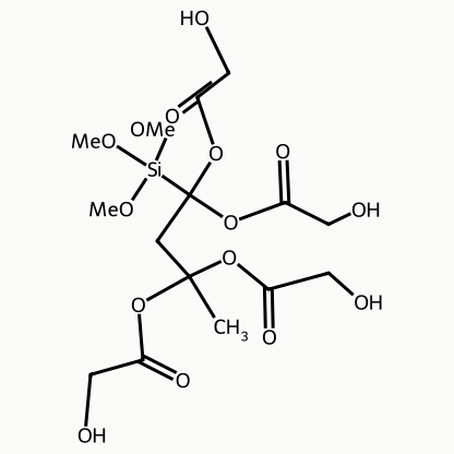 CO[Si](OC)(OC)C(CC(C)(OC(=O)CO)OC(=O)CO)(OC(=O)CO)OC(=O)CO